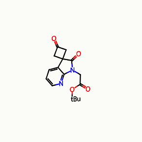 CC(C)(C)OC(=O)CN1C(=O)C2(CC(=O)C2)c2cccnc21